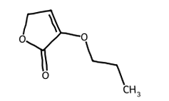 CCCOC1=CCOC1=O